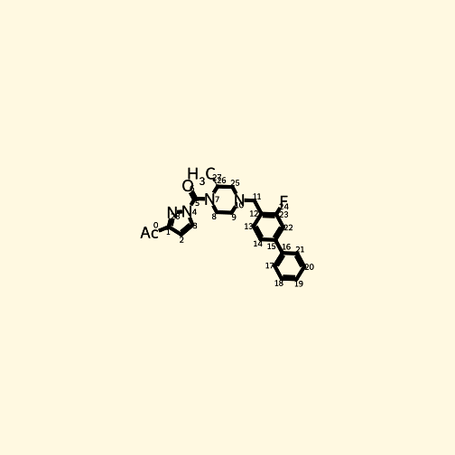 CC(=O)c1ccn(C(=O)N2CCN(Cc3ccc(-c4ccccc4)cc3F)C[C@H]2C)n1